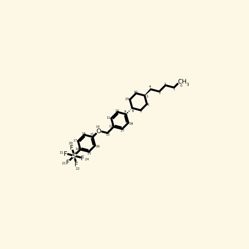 CCCCC[C@H]1CC[C@H](c2ccc(COc3ccc(S(F)(F)(F)(F)F)cc3)cc2)CC1